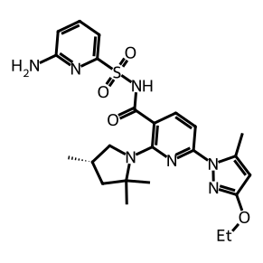 CCOc1cc(C)n(-c2ccc(C(=O)NS(=O)(=O)c3cccc(N)n3)c(N3C[C@@H](C)CC3(C)C)n2)n1